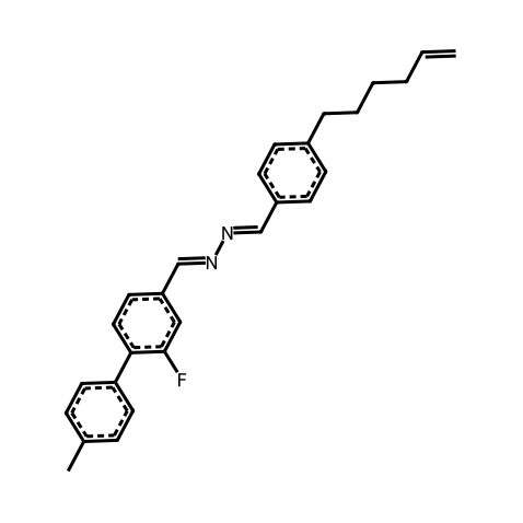 C=CCCCCc1ccc(C=NN=Cc2ccc(-c3ccc(C)cc3)c(F)c2)cc1